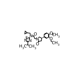 CCOc1cc([C@H]2CC(=O)N(CC(=O)N(CC3CC3)c3nc(C(C)C)ns3)C2)ccc1OC